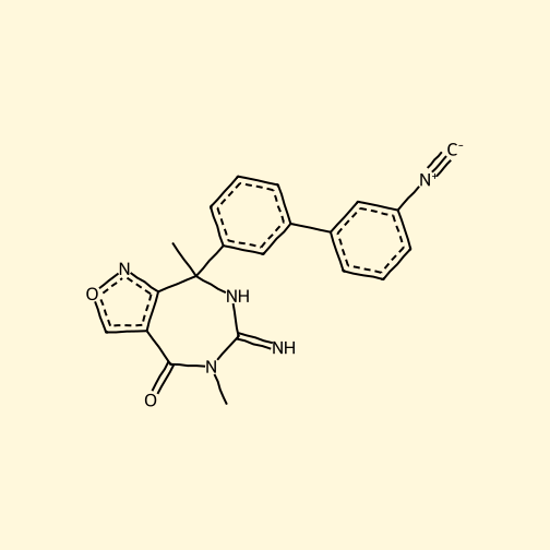 [C-]#[N+]c1cccc(-c2cccc(C3(C)NC(=N)N(C)C(=O)c4conc43)c2)c1